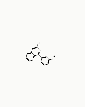 Nc1cc2cccnc2c(-c2cccc([N+](=O)[O-])c2)n1